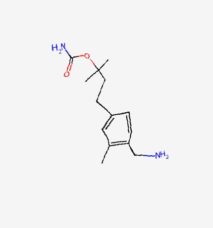 Cc1cc(CCC(C)(C)OC(N)=O)ccc1CN